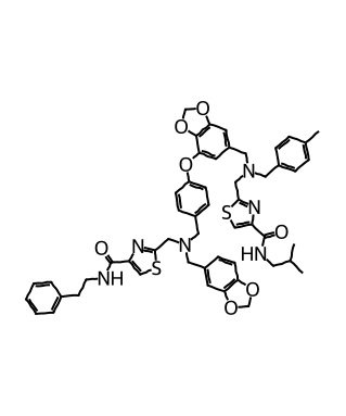 Cc1ccc(CN(Cc2cc3c(c(Oc4ccc(CN(Cc5ccc6c(c5)OCO6)Cc5nc(C(=O)NCCc6ccccc6)cs5)cc4)c2)OCO3)Cc2nc(C(=O)NCC(C)C)cs2)cc1